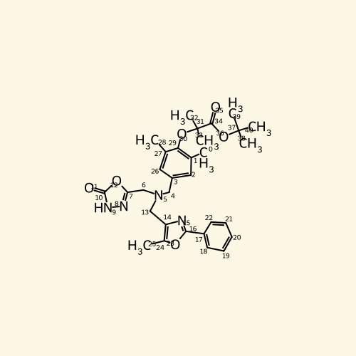 Cc1cc(CN(Cc2n[nH]c(=O)o2)Cc2nc(-c3ccccc3)oc2C)cc(C)c1OC(C)(C)C(=O)OC(C)(C)C